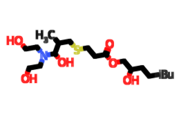 CCC(C)CCC(O)COC(=O)CCSCC(C)C(O)N(CCO)CCO